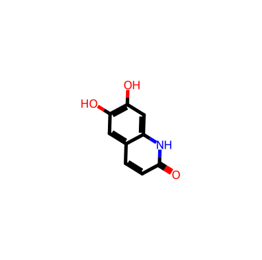 O=c1ccc2cc(O)c(O)cc2[nH]1